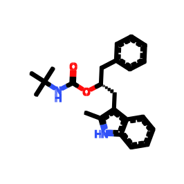 Cc1[nH]c2ccccc2c1C[C@@H](Cc1ccccc1)OC(=O)NC(C)(C)C